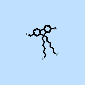 O=Cc1ccc2c(c1)C(CCCCCCBr)(CCCCCCBr)c1cc(Br)ccc1-2